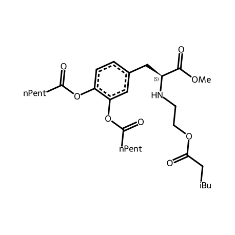 CCCCCC(=O)Oc1ccc(C[C@H](NCCOC(=O)CC(C)CC)C(=O)OC)cc1OC(=O)CCCCC